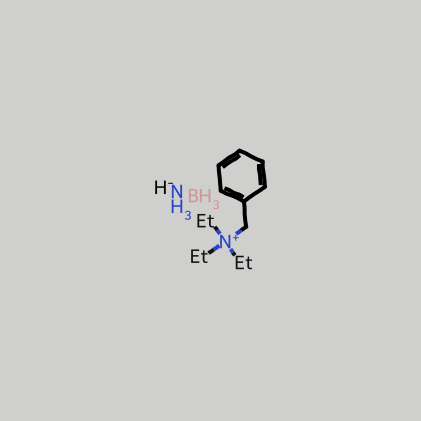 B.CC[N+](CC)(CC)Cc1ccccc1.N.[H-]